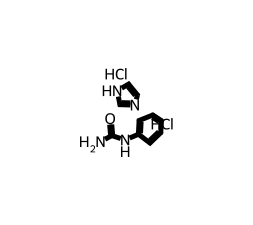 Cl.Cl.NC(=O)Nc1ccccc1.c1c[nH]cn1